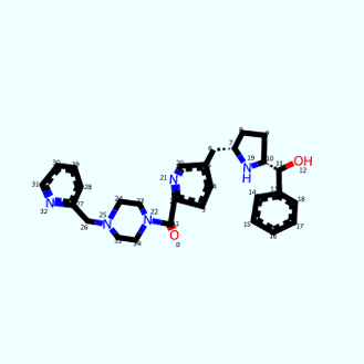 O=C(c1ccc(C[C@@H]2CC[C@H](C(O)c3ccccc3)N2)cn1)N1CCN(Cc2ccccn2)CC1